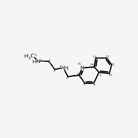 CNCCNCc1ccc2ccccc2n1